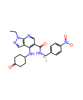 CCn1ncc2c(NC3CCC(=O)CC3)c(C(=O)N[C@@H](C)c3ccc([N+](=O)[O-])cc3)cnc21